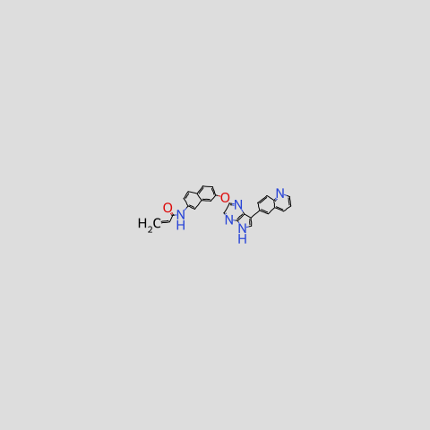 C=CC(=O)Nc1ccc2ccc(Oc3cnc4[nH]cc(-c5ccc6ncccc6c5)c4n3)cc2c1